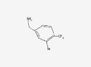 NCc1ccc(C(F)(F)F)c(Br)c1